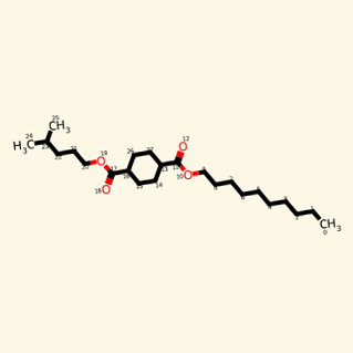 CCCCCCCCCCOC(=O)C1CCC(C(=O)OCCCC(C)C)CC1